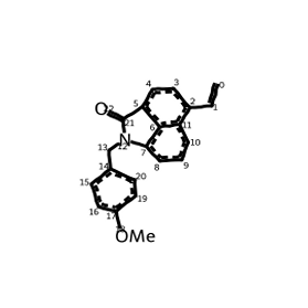 C=Cc1ccc2c3c(cccc13)N(Cc1ccc(OC)cc1)C2=O